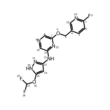 Fc1ccc(COc2cncc(Nc3cc(OC(F)F)[nH]n3)n2)cn1